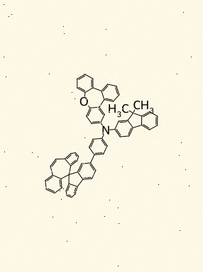 CC1(C)c2ccccc2-c2ccc(N(c3ccc(-c4ccc5c(c4)C4(c6ccccc6C=Cc6ccccc64)c4ccccc4-5)cc3)c3ccc4c(c3)-c3ccccc3-c3ccccc3O4)cc21